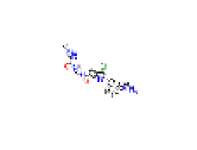 CC(C)(CN)c1ccc(-c2cc(Cl)c3ccc(C(=O)N4CCN(C(=O)c5cn(C6CC6)nn5)CC4)cc3n2)cc1